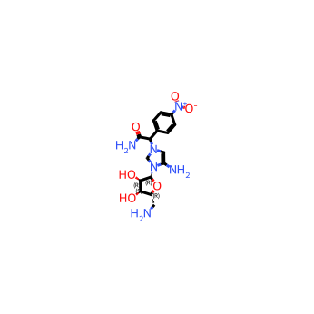 NC[C@H]1O[C@@H](N2CN(C(C(N)=O)c3ccc([N+](=O)[O-])cc3)C=C2N)[C@H](O)[C@@H]1O